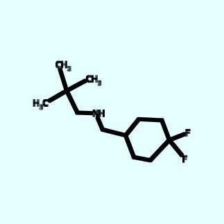 CC(C)(C)CNCC1CCC(F)(F)CC1